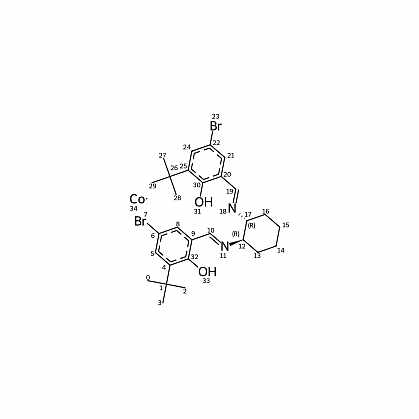 CC(C)(C)c1cc(Br)cc(C=N[C@@H]2CCCC[C@H]2N=Cc2cc(Br)cc(C(C)(C)C)c2O)c1O.[Co]